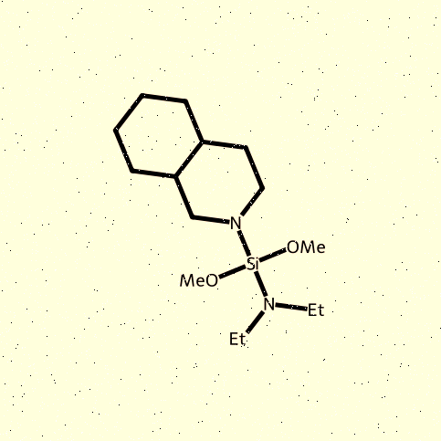 CCN(CC)[Si](OC)(OC)N1CCC2CCCCC2C1